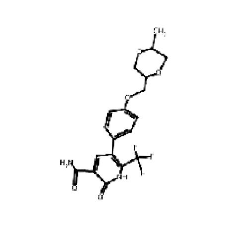 CC1COC(COc2ccc(-c3cc(C(N)=O)c(=O)[nH]c3C(F)(F)F)cc2)CO1